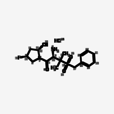 CC(C)([C@H](N)C(=O)N1C[C@@H](F)C[C@H]1C#N)S(=O)(=O)Cc1ccccc1.Cl